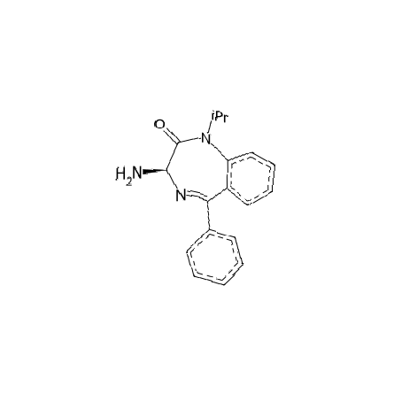 CC(C)N1C(=O)[C@H](N)N=C(c2ccccc2)c2ccccc21